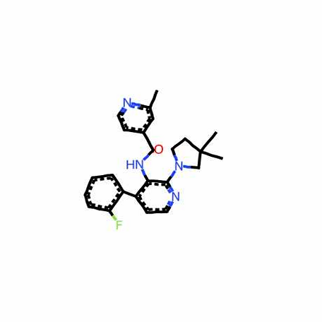 Cc1cc(C(=O)Nc2c(-c3ccccc3F)ccnc2N2CCC(C)(C)C2)ccn1